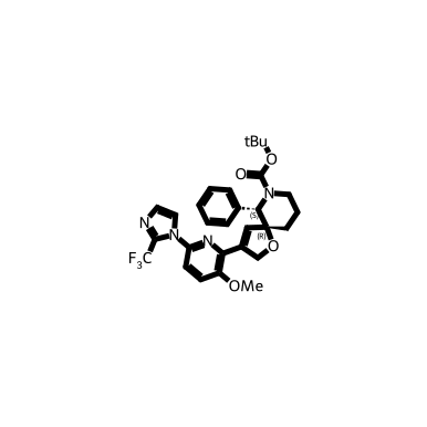 COc1ccc(-n2ccnc2C(F)(F)F)nc1C1=C[C@@]2(CCCN(C(=O)OC(C)(C)C)[C@H]2c2ccccc2)OC1